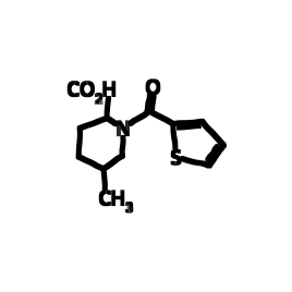 CC1CCC(C(=O)O)N(C(=O)c2cccs2)C1